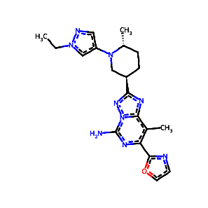 CCn1cc(N2C[C@H](c3nc4c(C)c(-c5ncco5)nc(N)n4n3)CC[C@H]2C)cn1